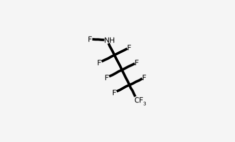 FNC(F)(F)C(F)(F)C(F)(F)C(F)(F)F